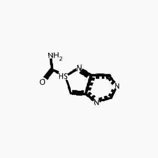 NC(=O)[SH]1C=c2ncncc2=N1